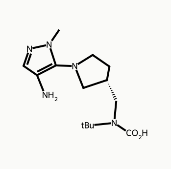 Cn1ncc(N)c1N1CC[C@H](CN(C(=O)O)C(C)(C)C)C1